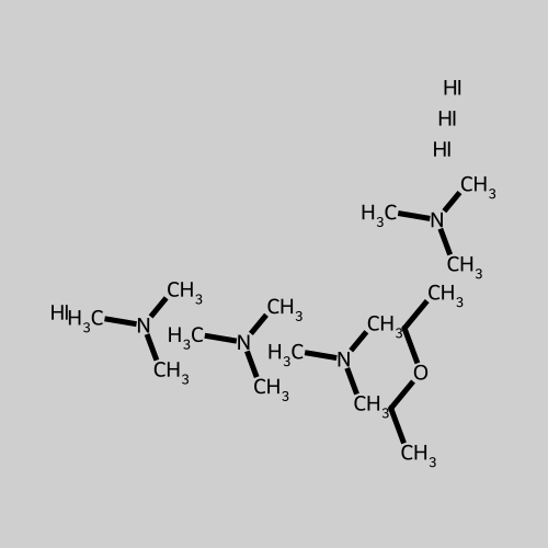 CCOCC.CN(C)C.CN(C)C.CN(C)C.CN(C)C.I.I.I.I